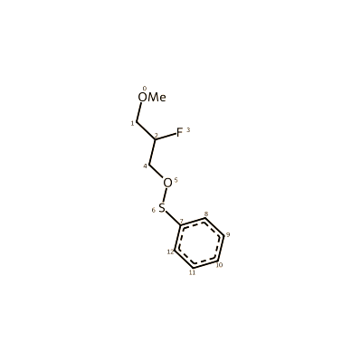 COCC(F)COSc1ccccc1